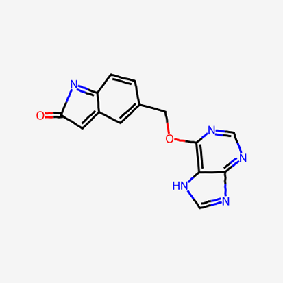 O=C1C=c2cc(COc3ncnc4nc[nH]c34)ccc2=N1